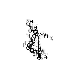 C=C(/C=C/C=C/C=C/C=C1/N(CCOC)c2ccc(C(=O)NCCOC)cc2C1(C)CCCS(=O)(=O)O)C(C)(CCCS(=O)(=O)O)c1cc(S(=O)(=O)O)ccc1C